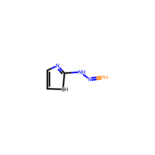 P=NNC1=NC=CB1